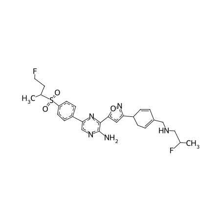 CC(F)CNCC1=CCC(c2cc(-c3nc(-c4ccc(S(=O)(=O)C(C)CCF)cc4)cnc3N)on2)C=C1